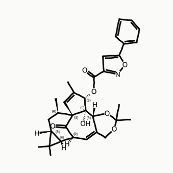 CC1=C[C@]23C(=O)[C@@H](C=C4COC(C)(C)O[C@H]4[C@]2(O)[C@H]1OC(=O)c1cc(-c2ccccc2)on1)[C@H]1[C@@H](C[C@H]3C)C1(C)C